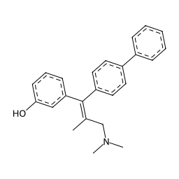 CC(CN(C)C)=C(c1ccc(-c2ccccc2)cc1)c1cccc(O)c1